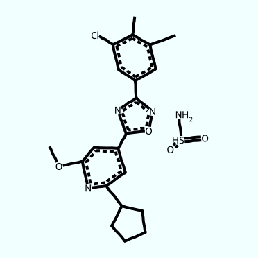 COc1cc(-c2nc(-c3cc(C)c(C)c(Cl)c3)no2)cc(C2CCCC2)n1.N[SH](=O)=O